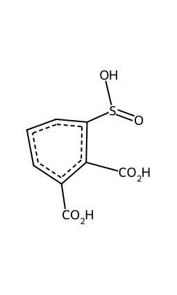 O=C(O)c1cccc(S(=O)O)c1C(=O)O